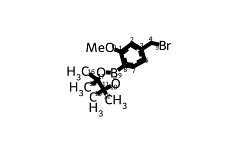 COc1cc(CBr)ccc1B1OC(C)(C)C(C)(C)O1